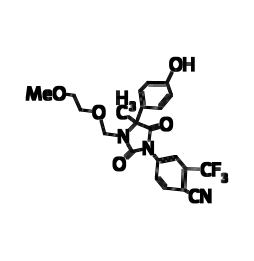 COCCOCN1C(=O)N(c2ccc(C#N)c(C(F)(F)F)c2)C(=O)C1(C)c1ccc(O)cc1